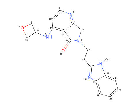 Cn1c(CCN2Cc3nccc(NC4COC4)c3C2=O)nc2ccccc21